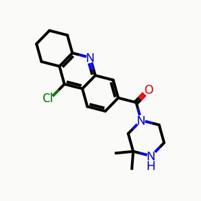 CC1(C)CN(C(=O)c2ccc3c(Cl)c4c(nc3c2)CCCC4)CCN1